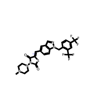 CN1CCN(N2C(=O)S/C(=C\c3ccc4c(cnn4Cc4ccc(C(F)(F)F)cc4C(F)(F)F)c3)C2=O)CC1